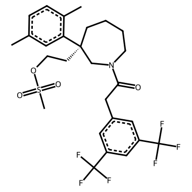 Cc1ccc(C)c([C@@]2(CCOS(C)(=O)=O)CCCCN(C(=O)Cc3cc(C(F)(F)F)cc(C(F)(F)F)c3)C2)c1